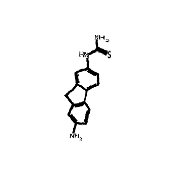 NC(=S)Nc1ccc2c(c1)Cc1cc(N)ccc1-2